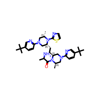 CC(N)C(=O)N1[C@@H](CC[C@@H]2CN(c3ccc(C(C)(C)C)cn3)C[C@H](C)N2c2nccs2)CN(c2ccc(C(C)(C)C)cn2)C[C@H]1C